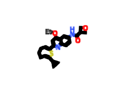 CCOc1cc(/C2=C/CCC/C=C(\C3CC3)S2)nc2ccc(NC(=O)C3COC3)cc12